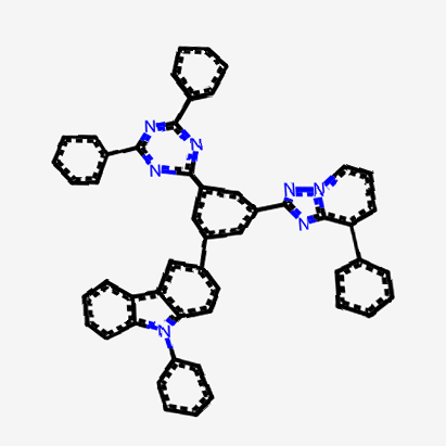 c1ccc(-c2nc(-c3ccccc3)nc(-c3cc(-c4ccc5c(c4)c4ccccc4n5-c4ccccc4)cc(-c4nc5c(-c6ccccc6)cccn5n4)c3)n2)cc1